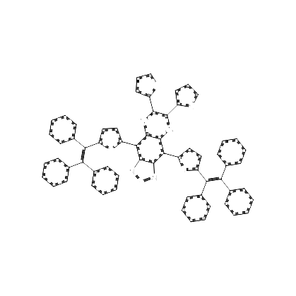 c1ccc(C(=C(c2ccccc2)c2ccc(-c3c4c(c(-c5ccc(C(=C(c6ccccc6)c6ccccc6)c6ccccc6)s5)c5nc(-c6cccs6)c(-c6cccs6)nc35)N=S=N4)s2)c2ccccc2)cc1